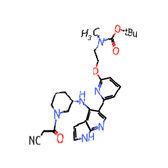 CN(CCOc1cccc(-c2cnc3[nH]ccc3c2N[C@@H]2CCCN(C(=O)CC#N)C2)n1)C(=O)OC(C)(C)C